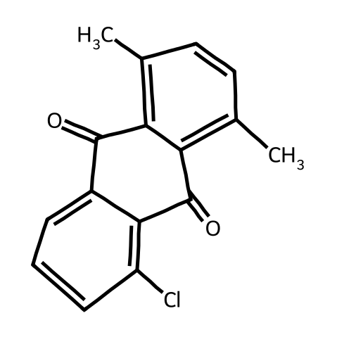 Cc1ccc(C)c2c1C(=O)c1cccc(Cl)c1C2=O